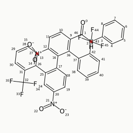 O=C(Nc1ccccc1)c1ccc([N+](=O)[O-])c(-c2ccc([N+](=O)[O-])cc2-c2ccccc2C(F)(F)F)c1-c1ccccc1C(F)(F)F